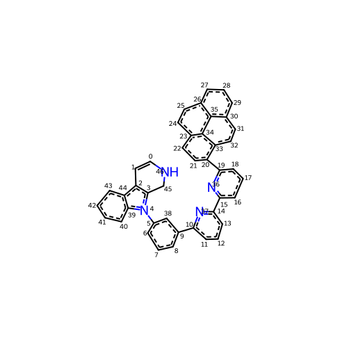 C1=Cc2c(n(-c3cccc(-c4cccc(-c5cccc(-c6ccc7ccc8cccc9ccc6c7c89)n5)n4)c3)c3ccccc23)CN1